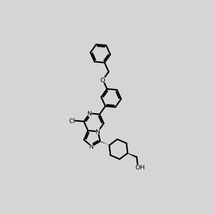 OC[C@H]1CC[C@H](c2ncc3c(Cl)nc(-c4cccc(OCc5ccccc5)c4)cn32)CC1